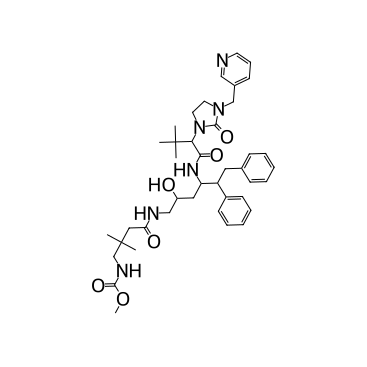 COC(=O)NCC(C)(C)CC(=O)NCC(O)CC(NC(=O)C(N1CCN(Cc2cccnc2)C1=O)C(C)(C)C)C(Cc1ccccc1)c1ccccc1